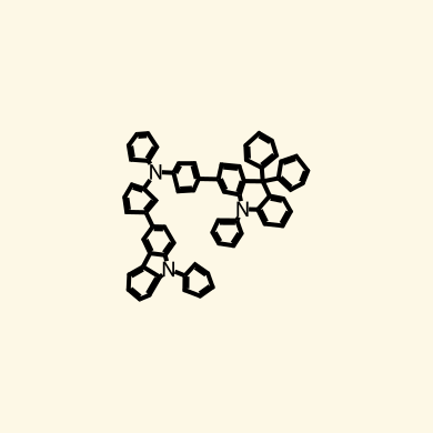 c1ccc(N(c2ccc(-c3ccc4c(c3)N(c3ccccc3)c3ccccc3C4(c3ccccc3)c3ccccc3)cc2)c2cccc(-c3ccc4c(c3)c3ccccc3n4-c3ccccc3)c2)cc1